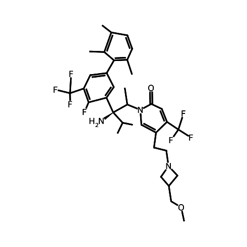 COCC1CN(CCc2cn(C(C)[C@@](N)(c3cc(-c4c(C)ccc(C)c4C)cc(C(F)(F)F)c3F)C(C)C)c(=O)cc2C(F)(F)F)C1